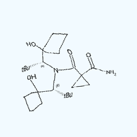 CC(C)(C)[C@@H](N(C(=O)C1(C(N)=O)CC1)[C@H](C(C)(C)C)C1(O)CCC1)C1(O)CCC1